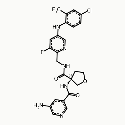 Nc1cncc(C(=O)N[C@@]2(C(=O)NCc3ncc(Nc4ccc(Cl)cc4C(F)(F)F)cc3F)CCOC2)c1